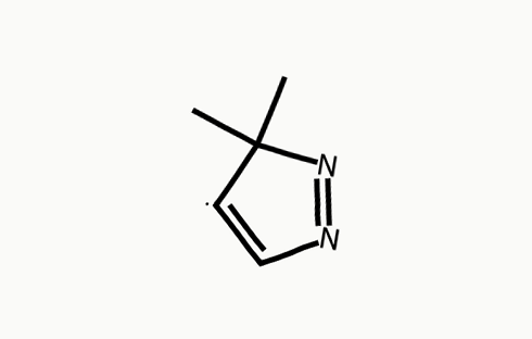 CC1(C)[C]=CN=N1